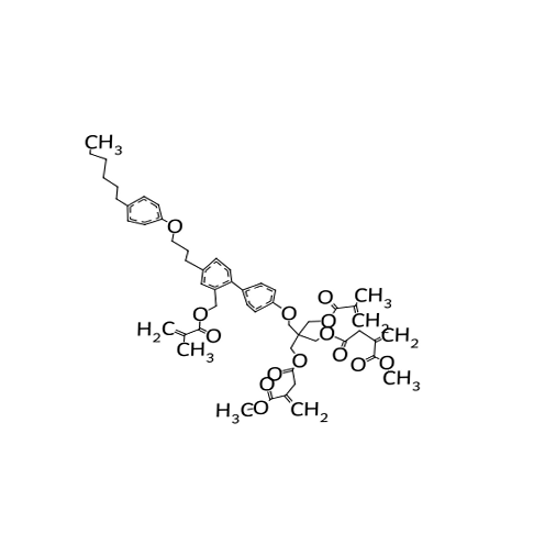 C=C(C)C(=O)OCc1cc(CCCOc2ccc(CCCCCC)cc2)ccc1-c1ccc(OCC(COC(=O)CC(=C)C(=O)OC)(COC(=O)CC(=C)C(=O)OC)COC(=O)C(=C)C)cc1